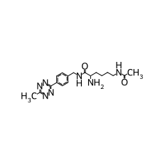 CC(=O)NCCCCC(N)C(=O)NCc1ccc(-c2nnc(C)nn2)cc1